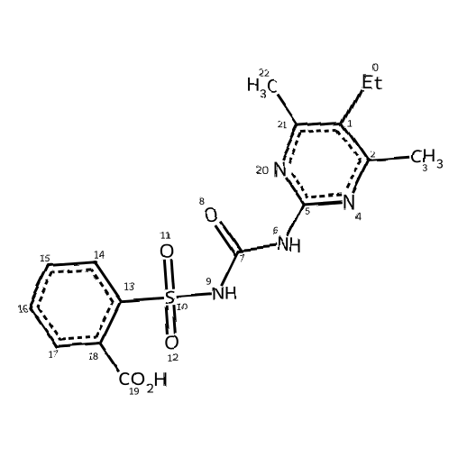 CCc1c(C)nc(NC(=O)NS(=O)(=O)c2ccccc2C(=O)O)nc1C